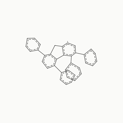 [c]1cc(-c2ccccc2)c(-c2ccccc2)c2c1Cc1c(-c3ccccc3)ccc(-c3ccccc3)c1-2